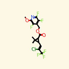 COc1nc(F)c(F)c(COC(=O)C2C(C=C(Cl)C(F)(F)F)C2(C)C)c1F